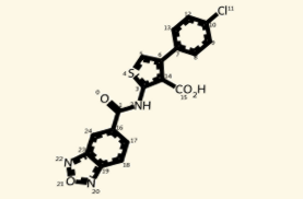 O=C(Nc1scc(-c2ccc(Cl)cc2)c1C(=O)O)c1ccc2nonc2c1